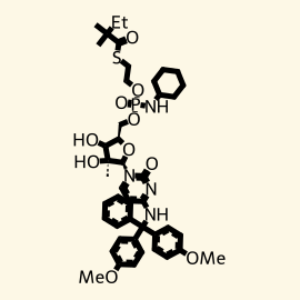 CCC(C)(C)C(=O)SCCOP(=O)(NC1CCCCC1)OC[C@H]1O[C@@H](n2ccc(NC(c3ccccc3)(c3ccc(OC)cc3)c3ccc(OC)cc3)nc2=O)[C@@](C)(O)C1O